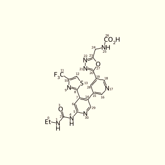 CCNC(=O)Nc1cc(-c2nc(C(F)(F)F)cs2)c(-c2cncc(-c3nnc(CNC(=O)O)o3)c2)cn1